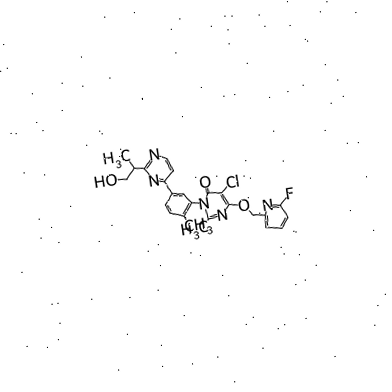 Cc1ccc(-c2ccnc(C(C)CO)n2)cc1-n1c(C)nc(OCc2cccc(F)n2)c(Cl)c1=O